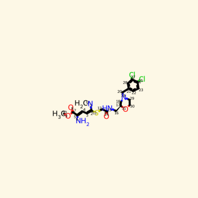 C=N/C(=C\C=C(/N)C(=O)OC)SCC(=O)NC[C@H]1CN(Cc2ccc(Cl)c(Cl)c2)CCO1